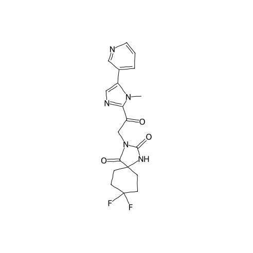 Cn1c(-c2cccnc2)cnc1C(=O)CN1C(=O)NC2(CCC(F)(F)CC2)C1=O